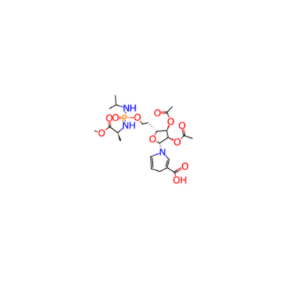 COC(=O)[C@H](C)NP(=O)(NC(C)C)OCC[C@H]1O[C@@H](N2C=CCC(C(=O)O)=C2)[C@H](OC(C)=O)[C@@H]1OC(C)=O